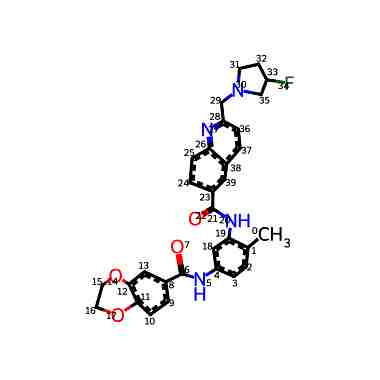 Cc1ccc(NC(=O)c2ccc3c(c2)OCCO3)cc1NC(=O)c1ccc2nc(CN3CCC(F)C3)ccc2c1